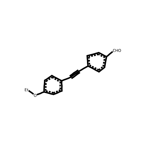 CCOc1ccc(C#Cc2ccc(C=O)cc2)cc1